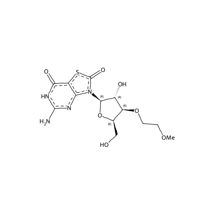 COCCO[C@@H]1[C@@H](O)[C@H](n2c(=O)sc3c(=O)[nH]c(N)nc32)O[C@@H]1CO